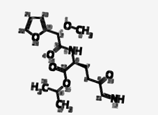 CO[C@H](C(=O)N[C@@H](CCC(=O)C=N)C(=O)OC(C)C)c1ccco1